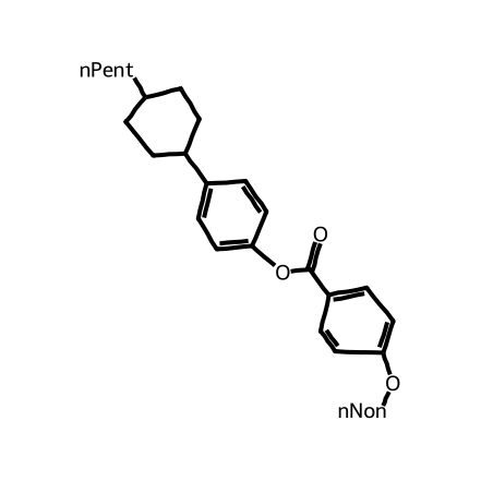 CCCCCCCCCOc1ccc(C(=O)Oc2ccc(C3CCC(CCCCC)CC3)cc2)cc1